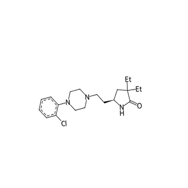 CCC1(CC)C[C@H](CCN2CCN(c3ccccc3Cl)CC2)NC1=O